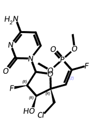 COP(=O)(OC)/C(F)=C\[C@@]1(CCl)OC(n2ccc(N)nc2=O)[C@H](F)[C@@H]1O